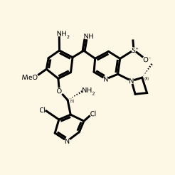 COc1cc(N)c(C(=N)c2cnc(N3CC[C@H]3C)c([S+](C)[O-])c2)cc1O[C@H](N)c1c(Cl)cncc1Cl